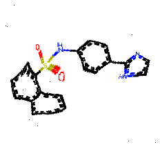 O=S(=O)(Nc1ccc(-c2ncc[nH]2)cc1)c1cccc2ccccc12